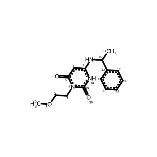 COCCn1c(=O)cc(NC(C)c2ccccc2)[nH]c1=O